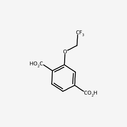 O=C(O)c1ccc(C(=O)O)c(OCC(F)(F)F)c1